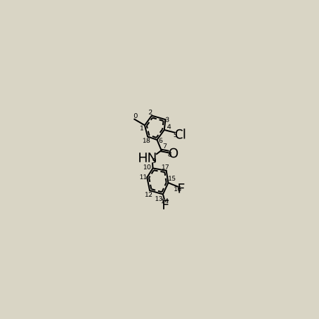 Cc1ccc(Cl)c(C(=O)Nc2ccc(F)c(F)c2)c1